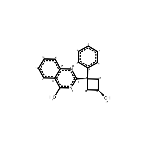 Oc1nc([C@]2(c3ccccc3)C[C@H](O)C2)nc2ccccc12